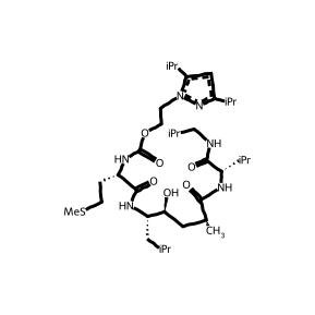 CSCC[C@H](NC(=O)OCCn1nc(C(C)C)cc1C(C)C)C(=O)N[C@@H](CC(C)C)[C@@H](O)C[C@@H](C)C(=O)N[C@H](C(=O)NCC(C)C)C(C)C